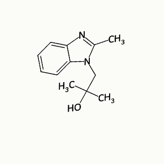 Cc1nc2ccccc2n1CC(C)(C)O